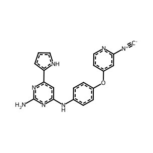 [C-]#[N+]c1cc(Oc2ccc(Nc3cc(-c4ccc[nH]4)nc(N)n3)cc2)ccn1